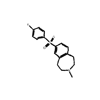 CN1CCc2c[c]c(S(=O)(=O)c3ccc(F)cc3)cc2CC1